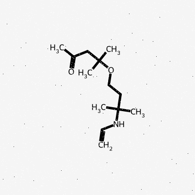 C=CNC(C)(C)CCOC(C)(C)CC(C)=O